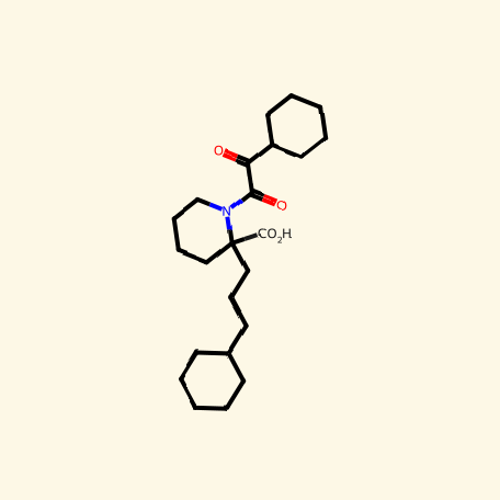 O=C(C(=O)N1CCCCC1(CCCC1CCCCC1)C(=O)O)C1CCCCC1